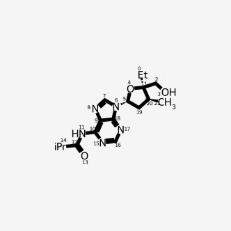 CC[C@@]1(CO)O[C@@H](n2cnc3c(NC(=O)C(C)C)ncnc32)C[C@@H]1C